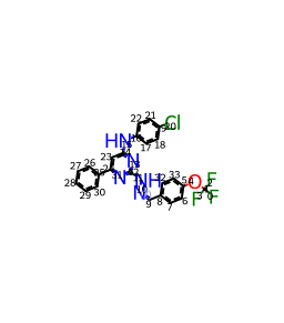 FC(F)(F)Oc1ccc(/C=N\Nc2nc(Nc3ccc(Cl)cc3)cc(-c3ccccc3)n2)cc1